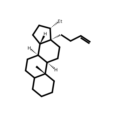 C=CCC[C@]12CC[C@@H]3[C@@H](CCC4CCCC[C@]43C)[C@@H]1CC[C@@H]2CC